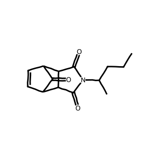 CCCC(C)N1C(=O)C2C3C=CC(C3=O)C2C1=O